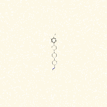 C/C=C/C1CCC(C2CCC(C3CCC(c4ccc(OCC)c(F)c4F)CO3)CC2)CC1